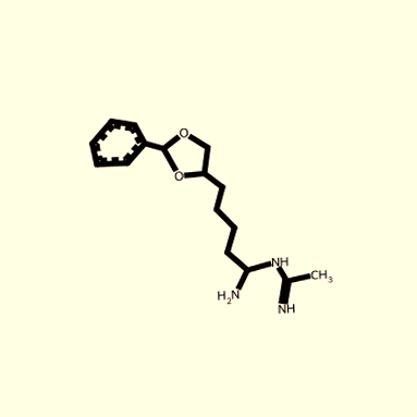 CC(=N)NC(N)CCCCC1COC(c2ccccc2)O1